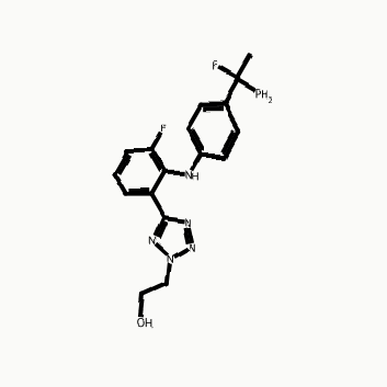 CC(F)(P)c1ccc(Nc2c(F)cccc2-c2nnn(CCO)n2)cc1